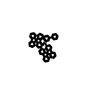 c1ccc(-c2cccc(N(c3ccc4c(c3)C3(c5ccccc5-c5ccccc53)c3ccccc3-4)c3cccc4c3-c3ccccc3C43c4ccccc4-c4ccccc43)c2)cc1